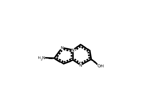 Nc1cc2nc(O)ccn2n1